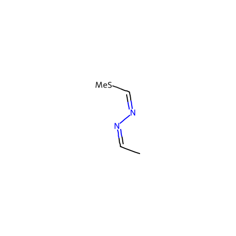 C/C=N\N=C/SC